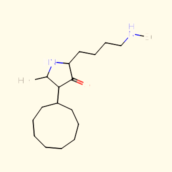 CCNCCCCC1NC(C)C(C2CCCCCCCC2)C1=O